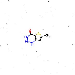 Cc1cc2c(s1)C(=O)NNN2